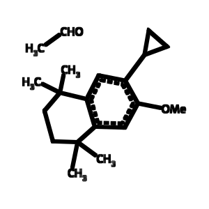 CC=O.COc1cc2c(cc1C1CC1)C(C)(C)CCC2(C)C